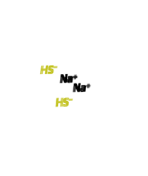 [Na+].[Na+].[SH-].[SH-]